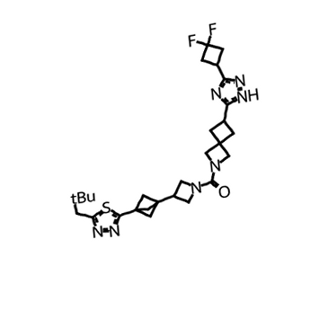 CC(C)(C)Cc1nnc(C23CC(C4CN(C(=O)N5CC6(CC(c7nc(C8CC(F)(F)C8)n[nH]7)C6)C5)C4)(C2)C3)s1